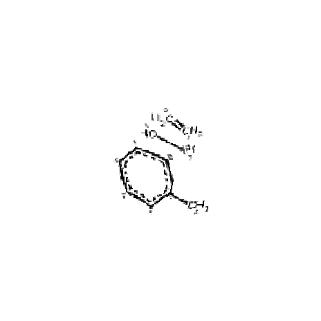 C=C.CC(C)O.Cc1ccccc1